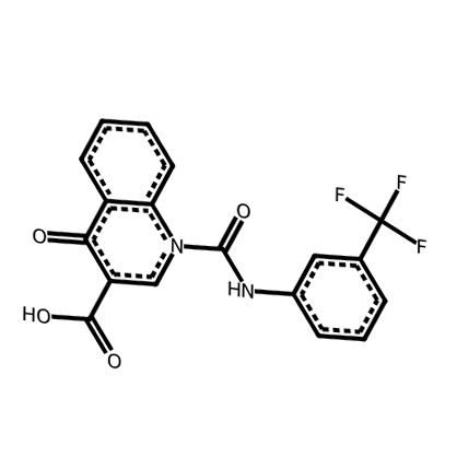 O=C(O)c1cn(C(=O)Nc2cccc(C(F)(F)F)c2)c2ccccc2c1=O